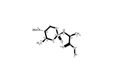 CO[C@@H]1CO[P@@](=O)(N[C@@H](C)C(=O)OC(C)C)O[C@H]1C